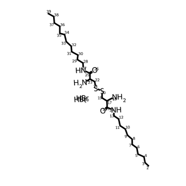 Br.Br.CCCCCCCCCCCCNC(=O)C(N)CSSCC(N)C(=O)NCCCCCCCCCCCC